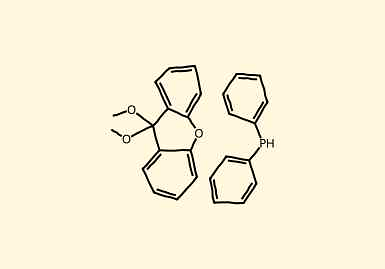 COC1(OC)c2ccccc2Oc2ccccc21.c1ccc(Pc2ccccc2)cc1